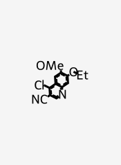 CCOc1cc2ncc(C#N)c(Cl)c2cc1OC